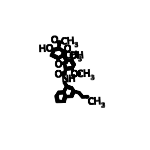 CCCCc1cc(CNC(=O)c2c(OC)cc(O)c3c2OC2=CC(O)=C(C(C)=O)C(=O)[C@]23C)c2ccccc2c1